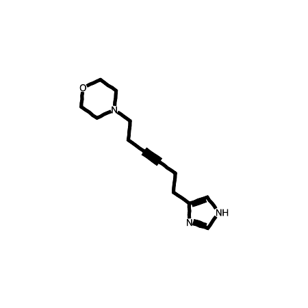 C(#CCCN1CCOCC1)CCc1c[nH]cn1